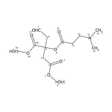 CCCCCCCCOC(=O)CC(CC=O)(OC(=O)CCN(C)C)C(=O)OCCCCCCCC